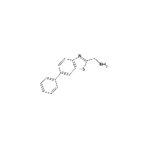 BCc1nc2ccc(-c3ccccc3)cc2s1